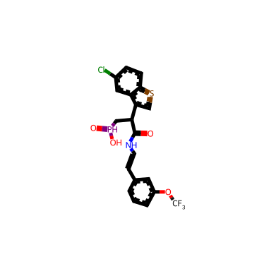 O=C(N/C=C/c1cccc(OC(F)(F)F)c1)C(C[PH](=O)O)c1csc2ccc(Cl)cc12